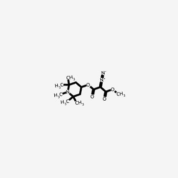 COC(=O)C(=[N+]=[N-])C(=O)OC1CC(C)(C)N(C)C(C)(C)C1